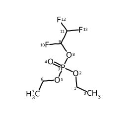 CCOP(=O)(OCC)OC(F)C(F)F